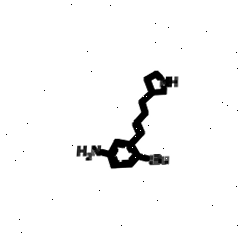 CC(C)(C)c1ccc(N)cc1/C=C/CCC1CCNC1